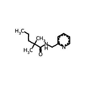 CCCC(C)(C)C(=O)NCc1ccccn1